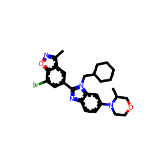 Cc1noc2c(Br)cc(-c3nc4ccc(N5CCOCC5C)cc4n3CC3CCCCC3)cc12